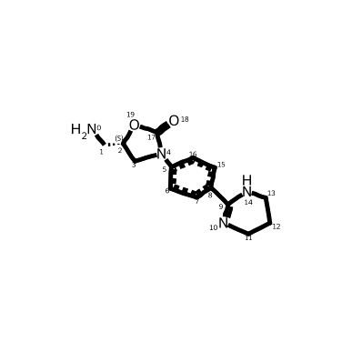 NC[C@H]1CN(c2ccc(C3=NCCCN3)cc2)C(=O)O1